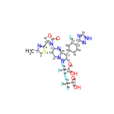 Cc1csc([C@H]2COC(=O)N2c2ccn3ncc(-c4ccc(-c5nc[nH]n5)c(F)c4)c3n2)n1.O=C(O)C(F)(F)F.O=C(O)C(F)(F)F